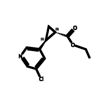 CCOC(=O)[C@H]1C[C@@H]1c1cncc(Cl)c1